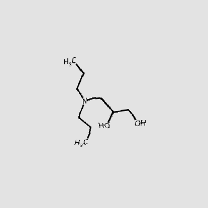 CCCN(CCC)CC(O)CO